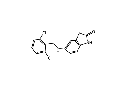 O=C1Cc2cc(NCc3c(Cl)cccc3Cl)ccc2N1